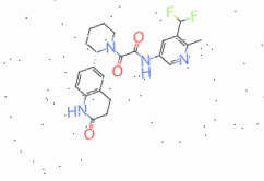 Cc1ncc(NC(=O)C(=O)N2CCCC[C@H]2c2ccc3c(c2)CCC(=O)N3)cc1C(F)F